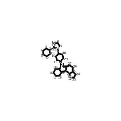 c1ccc(-c2nccn2-c2ccc(-n3c4ccccc4c4c5sccc5ccc43)cc2)cc1